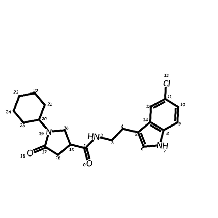 O=C(NCCc1c[nH]c2ccc(Cl)cc12)C1CC(=O)N(C2CCCCC2)C1